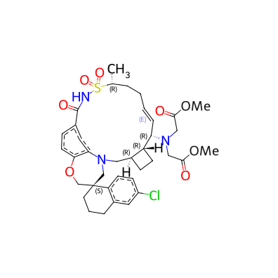 COC(=O)CN(CC(=O)OC)[C@H]1/C=C/CC[C@@H](C)S(=O)(=O)NC(=O)c2ccc3c(c2)N(C[C@@H]2CC[C@H]21)C[C@@]1(CCCc2cc(Cl)ccc21)CO3